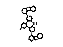 Cc1ccc2c(c1)-c1cc(-c3cccc4oc5ccccc5c34)ccc1Nc1ccc(-c3cccc4oc5ccccc5c34)cc1-2